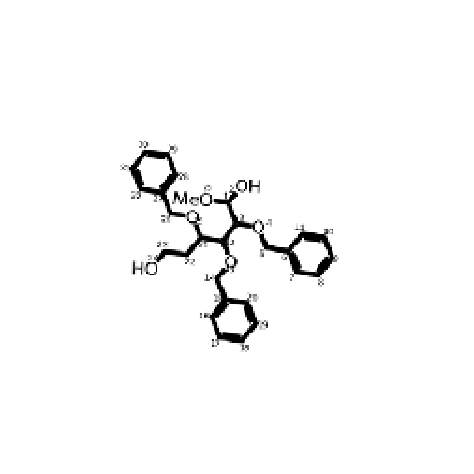 COC(O)C(OCc1ccccc1)C(OCc1ccccc1)C(CCO)OCc1ccccc1